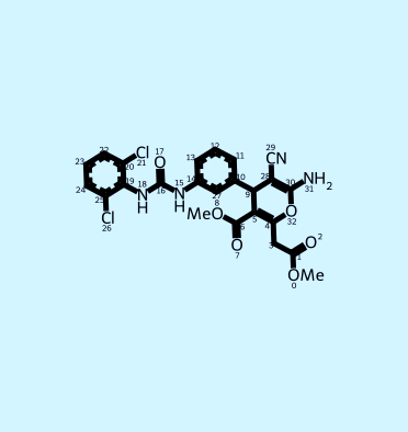 COC(=O)CC1=C(C(=O)OC)C(c2cccc(NC(=O)Nc3c(Cl)cccc3Cl)c2)C(C#N)=C(N)O1